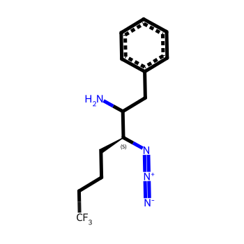 [N-]=[N+]=N[C@@H](CCCC(F)(F)F)C(N)Cc1ccccc1